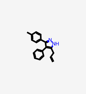 C=CCc1[nH]nc(-c2ccc(C)cc2)c1-c1ccccc1